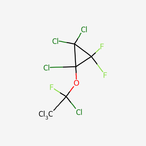 FC(Cl)(OC1(Cl)C(F)(F)C1(Cl)Cl)C(Cl)(Cl)Cl